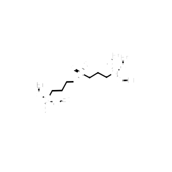 CCO[Si](CCCSS(=S)(=S)CCC[Si](OCC)(OCC)OCC)(OCC)OCC